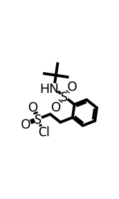 CC(C)(C)NS(=O)(=O)c1ccccc1CCS(=O)(=O)Cl